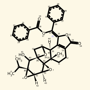 CC(C)[C@]12O[C@H]1[C@@H]1O[C@@]13[C@@]1(C)CCC4=C(/C(=C(\OC(=O)c5ccccc5)c5ccccc5)OC4=O)[C@@H]1C1C[C@@]3(O1)C2O